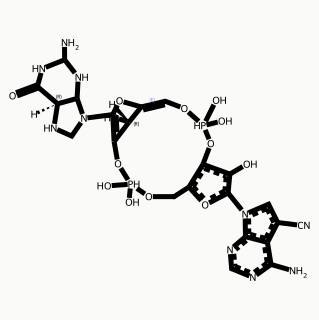 N#Cc1cn(-c2oc3c(c2O)O[PH](O)(O)O/C=C2/OC(N4CN[C@H]5C(=O)NC(N)NC54)=C(O[PH](O)(O)OC3)[C@@H]2O)c2ncnc(N)c12